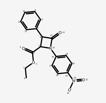 CCOC(=O)C1C(c2ccccc2)C(=O)N1c1ccc([N+](=O)[O-])cc1